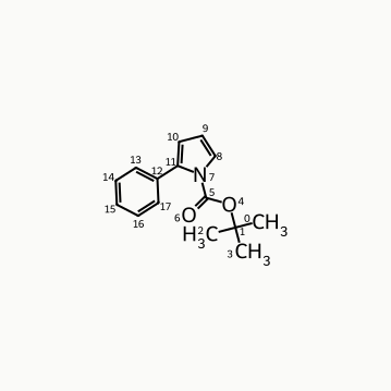 CC(C)(C)OC(=O)n1cccc1-c1ccccc1